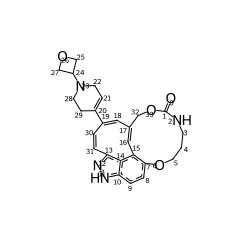 O=C1NCCCOc2ccc3[nH]nc4c3c2C=C(C=C(C2=CCN(C3COC3)CC2)C=C4)CO1